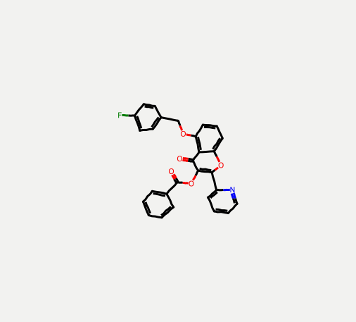 O=C(Oc1c(-c2ccccn2)oc2cccc(OCc3ccc(F)cc3)c2c1=O)c1ccccc1